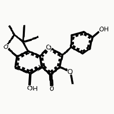 COc1c(-c2ccc(O)cc2)oc2c3c(cc(O)c2c1=O)OC(C)C3(C)C